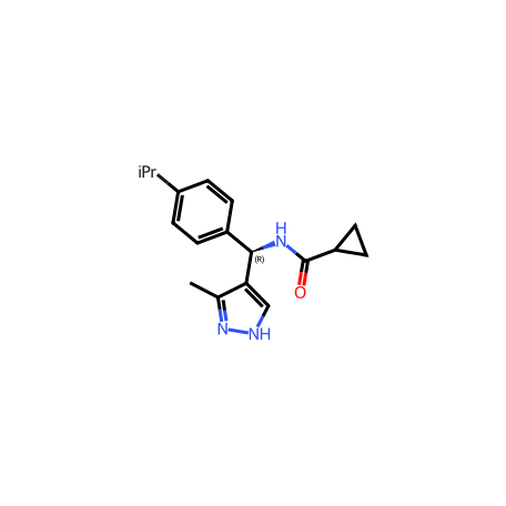 Cc1n[nH]cc1[C@H](NC(=O)C1CC1)c1ccc(C(C)C)cc1